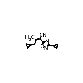 CC(CC1CC1)=C(C#N)c1nc(C2CC2)no1